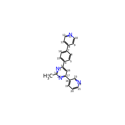 Cc1nc(-c2ccc(-c3ccncc3)cc2)cc(-c2cccnc2)n1